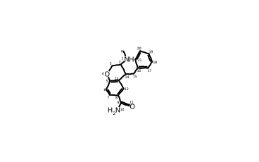 CNC1COc2ccc(C(N)=O)cc2C1Cc1ccccc1